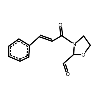 O=CC1OCCN1C(=O)C=Cc1ccccc1